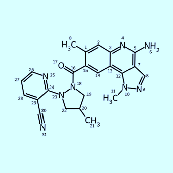 Cc1cc2nc(N)c3cnn(C)c3c2cc1C(=O)N1CC(C)CN1c1ncccc1C#N